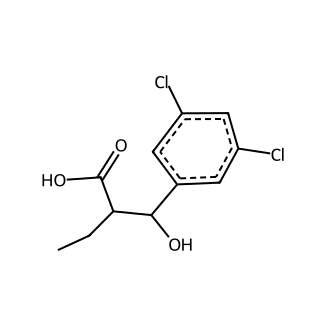 CCC(C(=O)O)C(O)c1cc(Cl)cc(Cl)c1